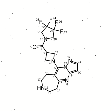 O=C(C1CN(c2c3c(nc4ccnn24)CCNCC3)C1)N1CC(F)(F)C(F)(F)C1